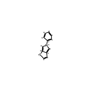 c1ccc(-n2cc3ccsc3c2)cc1